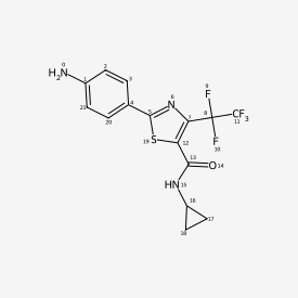 Nc1ccc(-c2nc(C(F)(F)C(F)(F)F)c(C(=O)NC3CC3)s2)cc1